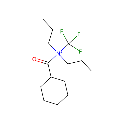 CCC[N+](CCC)(C(=O)C1CCCCC1)C(F)(F)F